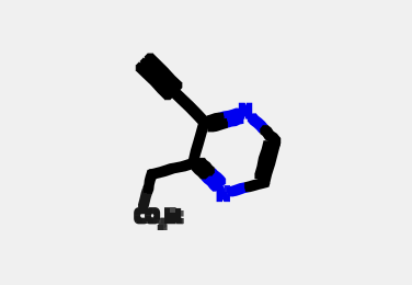 C#Cc1nccnc1CC(=O)OCC